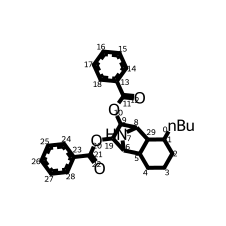 CCCCC1CCCC2C3NC(C(OC(=O)c4ccccc4)C3OC(=O)c3ccccc3)C12